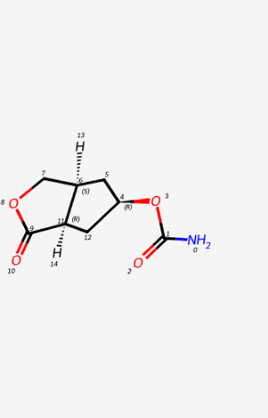 NC(=O)O[C@@H]1C[C@@H]2COC(=O)[C@@H]2C1